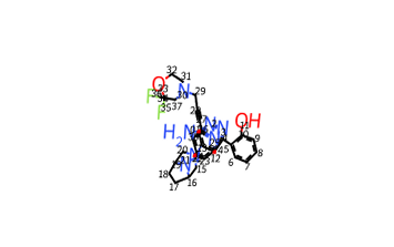 Nc1nnc(-c2ccccc2O)cc1N1CC2CCC(C1)N2c1ccnc(C#CCN2CCOC(F)(F)C2)c1